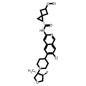 CCOC1CC2(C1)C[C@H]2C(=O)Nc1cc2cc(C3CCN([C@]4(C)COC[C@@H]4F)CC3)c(Cl)cc2cn1